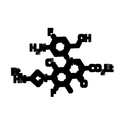 CCNC1CN(c2c(F)c(C)c3c(=O)c(C(=O)OCC)cn(-c4cc(N)c(F)cc4CO)c3c2Cl)C1